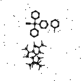 C#C[B-](c1ccccc1)(c1ccccc1)c1ccccc1.CN=C(N(C)C)N(C)[P+](N(C)C(=NC)N(C)C)(N(C)C(=NC)N(C)C)N(C)C(=NC)N(C)C.Cc1ccccc1